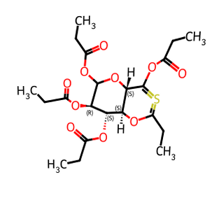 CCC(=O)OC1=S=C(CC)O[C@H]2[C@H](OC(=O)CC)[C@@H](OC(=O)CC)C(OC(=O)CC)O[C@H]12